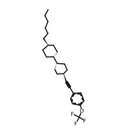 CCCCCC[C@H]1CC[C@H]([C@H]2CC[C@H](C#Cc3ccc(OC(F)(F)F)cc3)CC2)CC1